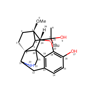 CO[C@]12CC[C@@]3(CC1C(C)(O)C(C)(C)C)C1Cc4ccc(O)c5c4C3(CCN1)[C@H]2O5